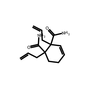 C=CCC1(C(N)=O)C=CCCC1(CC=C)C(N)=O